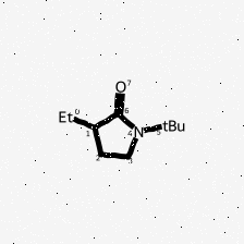 CCC1CCN(C(C)(C)C)C1=O